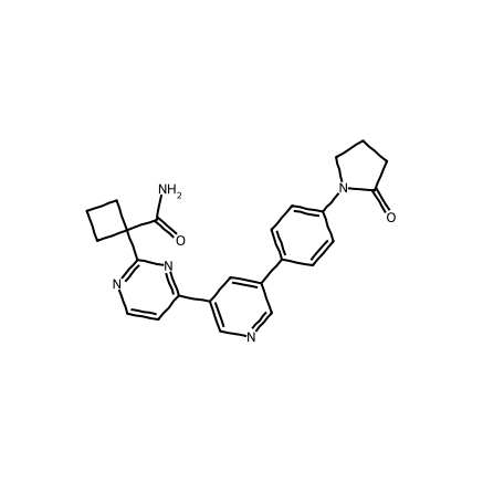 NC(=O)C1(c2nccc(-c3cncc(-c4ccc(N5CCCC5=O)cc4)c3)n2)CCC1